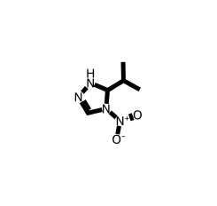 CC(C)C1NN=CN1[N+](=O)[O-]